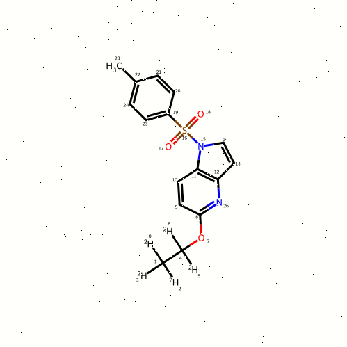 [2H]C([2H])([2H])C([2H])([2H])Oc1ccc2c(ccn2S(=O)(=O)c2ccc(C)cc2)n1